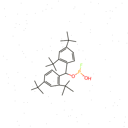 CC(C)(C)c1ccc(C(OP(O)F)c2ccc(C(C)(C)C)cc2C(C)(C)C)c(C(C)(C)C)c1